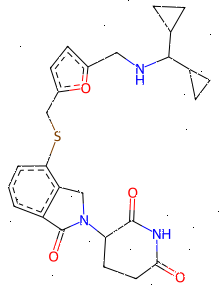 O=C1CCC(N2Cc3c(SCc4ccc(CNC(C5CC5)C5CC5)o4)cccc3C2=O)C(=O)N1